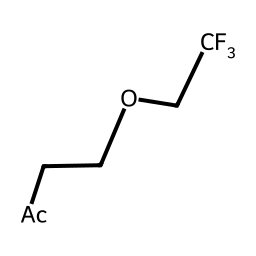 CC(=O)CCOCC(F)(F)F